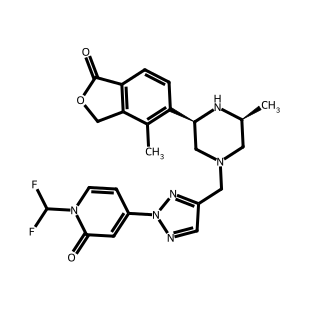 Cc1c([C@@H]2CN(Cc3cnn(-c4ccn(C(F)F)c(=O)c4)n3)C[C@H](C)N2)ccc2c1COC2=O